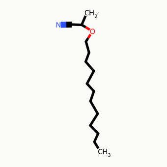 [CH2]C(C#N)OCCCCCCCCCCCC